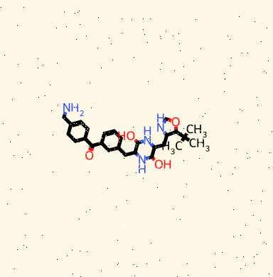 CC(C)(C)C1OCNC1CC1NC(O)C(CC2CC=CC(C(=O)C3CC=C(CN)CC3)C2)NC1O